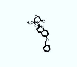 CC1(C)COCC(=O)N1c1ccc2cc(OCc3ccccc3)ccc2n1